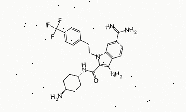 N=C(N)c1ccc2c(N)c(C(=O)N[C@H]3CC[C@H](N)CC3)n(CCc3ccc(C(F)(F)F)cc3)c2c1